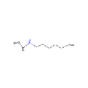 CCCCCCCCCCNBOC